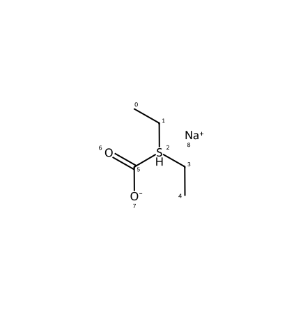 CC[SH](CC)C(=O)[O-].[Na+]